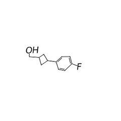 OCC1CC(c2ccc(F)cc2)C1